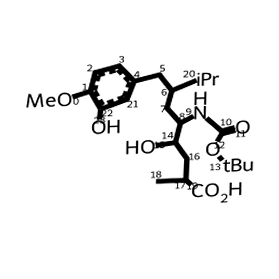 COc1ccc(CC(CC(NC(=O)OC(C)(C)C)C(O)CC(C)C(=O)O)C(C)C)cc1O